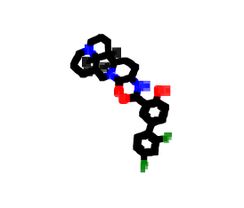 O=C(NC1CC[C@@H]2[C@H]3CCCN4CCC[C@@H](CN2C1=O)[C@@H]34)c1cc(-c2ccc(F)cc2F)ccc1O